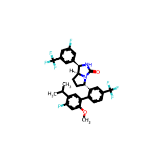 COc1cc(F)c(C(C)C)cc1-c1ccc(C(F)(F)F)cc1[C@@H]1CC[C@H]2[C@@H](c3cc(F)cc(C(F)(F)F)c3)NC(=O)N12